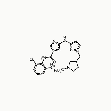 Cc1cccc(Cl)c1NC(=O)c1cnc(Nc2ccn(CC3CCN(C(=O)O)C3)n2)s1